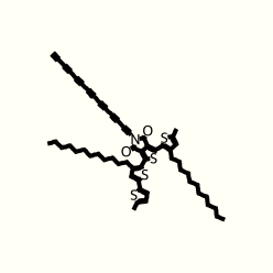 C#CC#CC#CC#CC#CC#CC#CN1C(=O)c2c(-c3sc(C)cc3CCCCCCCCCCCC)sc(-c3sc(-c4ccc(C)s4)cc3CCCCCCCCCCCC)c2C1=O